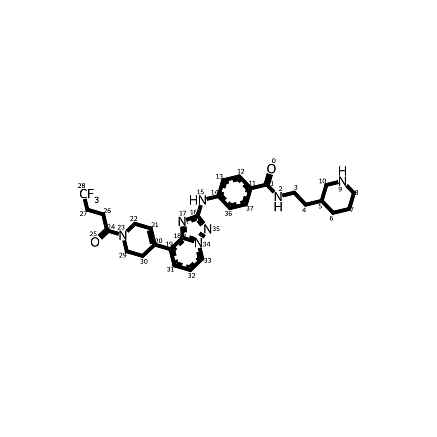 O=C(NCCC1CCCNC1)c1ccc(Nc2nc3c(C4=CCN(C(=O)CCC(F)(F)F)CC4)cccn3n2)cc1